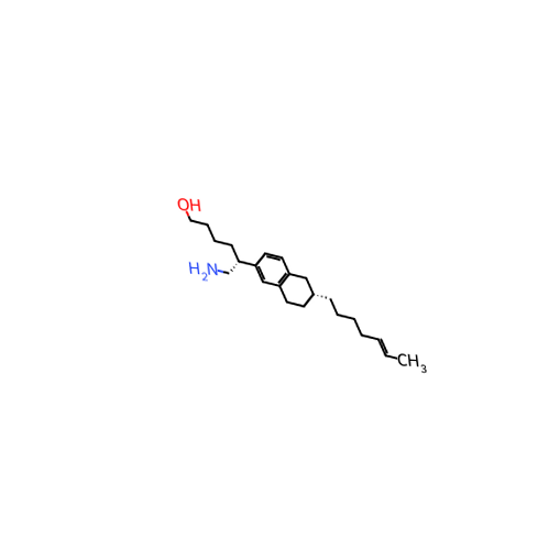 C/C=C/CCCC[C@@H]1CCc2cc([C@H](CN)CCCCO)ccc2C1